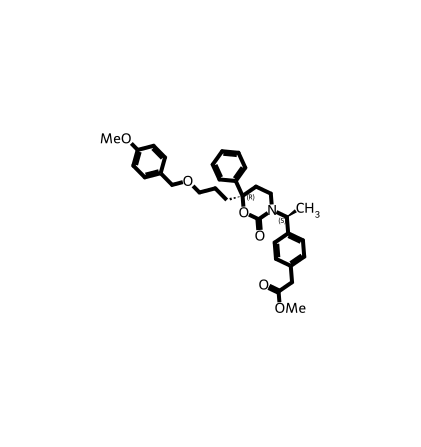 COC(=O)Cc1ccc([C@H](C)N2CC[C@](CCCOCc3ccc(OC)cc3)(c3ccccc3)OC2=O)cc1